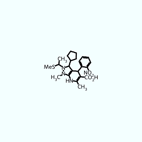 CSC(C)N1C(C2CCCC2)C2=C(NC(C)=C(C(=O)O)C2c2ccccc2[N+](=O)[O-])N1C